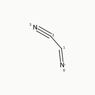 [N]=CC#N